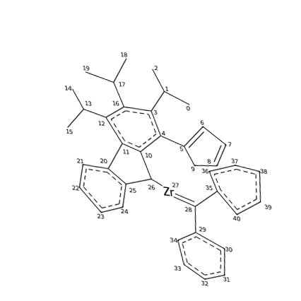 CC(C)c1c(C2=CC=CC2)c2c(c(C(C)C)c1C(C)C)-c1ccccc1[CH]2[Zr]=[C](c1ccccc1)c1ccccc1